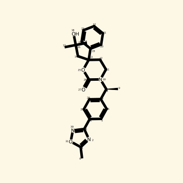 Cc1nc(-c2ccc([C@H](C)N3CCC(CC(C)(C)O)(c4ccccc4)OC3=O)cc2)no1